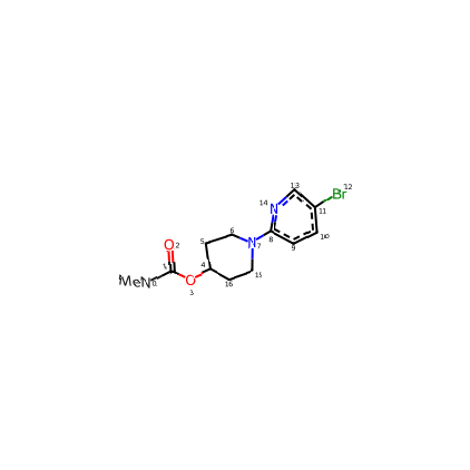 CNC(=O)OC1CCN(c2ccc(Br)cn2)CC1